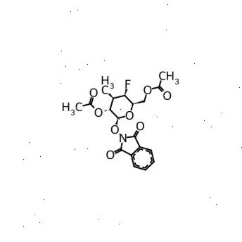 CC(=O)OC[C@H]1O[C@@H](ON2C(=O)c3ccccc3C2=O)[C@H](OC(C)=O)[C@@H](C)[C@H]1F